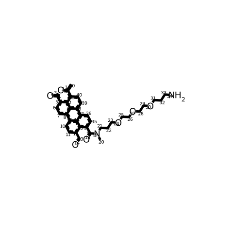 C=c1oc(=O)c2ccc3c4ccc(C=O)c5c(C(=O)N(C)CCCOCCOCCOCCCN)ccc(c6ccc1c2c63)c54